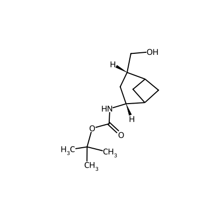 CC(C)(C)OC(=O)N[C@@H]1C[C@H](CO)C2CC1C2